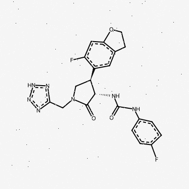 O=C(Nc1ccc(F)cc1)N[C@@H]1C(=O)N(Cc2nn[nH]n2)C[C@H]1c1cc2c(cc1F)OCC2